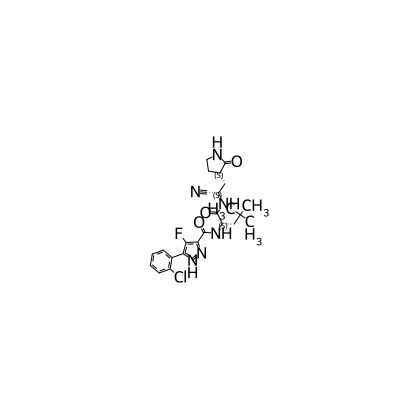 CC(C)(C)C[C@H](NC(=O)c1n[nH]c(-c2ccccc2Cl)c1F)C(=O)N[C@H](C#N)C[C@@H]1CCNC1=O